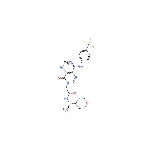 CNc1c(C(=N)Nc2ccc(C(F)(F)F)cc2)ncn(CC(=O)N[C@H](C)C2CCOCC2)c1=O